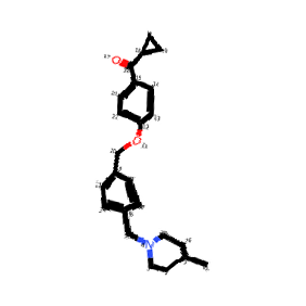 CC1CCN(Cc2ccc(COc3ccc(C(=O)C4CC4)cc3)cc2)CC1